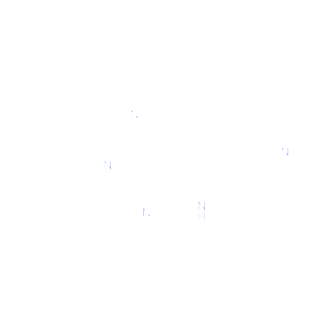 Cc1cc(Nc2cc(N(C)C(C)C)nc(-c3ccccc3)n2)cc(C)n1